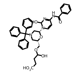 O=C(O)CCC(O)OC[C@@H]1CN(C(c2ccccc2)(c2ccccc2)c2ccccc2)C[C@H](N2C=CC(NC(=O)c3ccccc3)=NC2O)O1